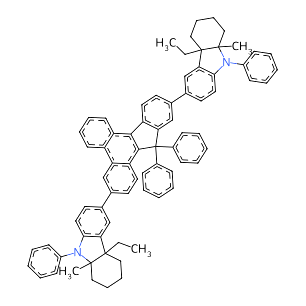 CCC12CCCCC1(C)N(c1ccccc1)c1ccc(-c3ccc4c(c3)C(c3ccccc3)(c3ccccc3)c3c-4c4ccccc4c4cc(-c5ccc6c(c5)C5(CC)CCCCC5(C)N6c5ccccc5)ccc34)cc12